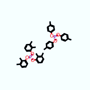 Cc1ccc(OP(Oc2ccc(C)cc2)Oc2ccc(C)cc2)cc1.Cc1cccc(OP(Oc2cccc(C)c2C)Oc2cccc(C)c2C)c1C